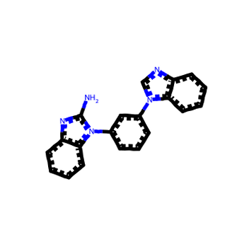 Nc1nc2ccccc2n1-c1cccc(-n2cnc3ccccc32)c1